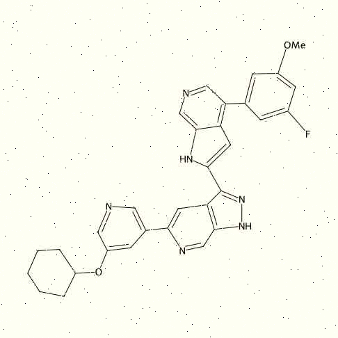 COc1cc(F)cc(-c2cncc3[nH]c(-c4n[nH]c5cnc(-c6cncc(OC7CCCCC7)c6)cc45)cc23)c1